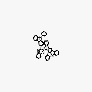 c1ccc(-n2c3ccccc3c3cc(-c4nc5ccccc5nc4-n4c5ccccc5c5cc6c7ccccc7n7c8ccccc8c(c54)c67)ccc32)cc1